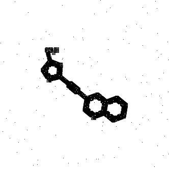 O=C(O)c1cnc(C#Cc2cnc3ccccc3c2)s1